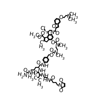 COC(=O)C1=C(C)Cc2c(OC(=O)N(C)CCN(C)C(=O)OCc3ccc(NC(=O)C(CCCNC(N)=O)NC(=O)[C@@H](NCCNC(=O)CCCN4C(=O)C=CC4=O)C(C)C)cc3)cc3c(c21)[C@H](CCl)CN3C(=O)c1cc2cc(OCCN(C)C)ccc2o1